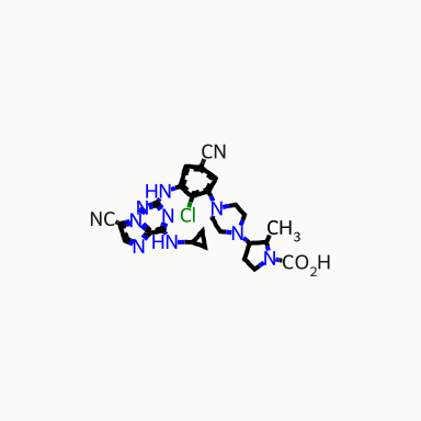 CC1C(N2CCN(c3cc(C#N)cc(Nc4nc(NC5CC5)c5ncc(C#N)n5n4)c3Cl)CC2)CCN1C(=O)O